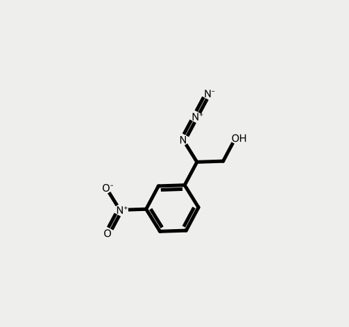 [N-]=[N+]=NC(CO)c1cccc([N+](=O)[O-])c1